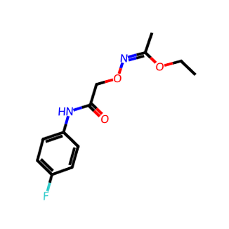 CCO/C(C)=N\OCC(=O)Nc1ccc(F)cc1